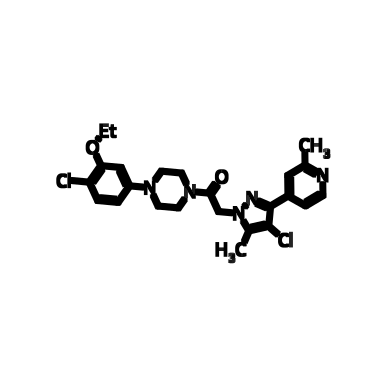 CCOc1cc(N2CCN(C(=O)Cn3nc(-c4ccnc(C)c4)c(Cl)c3C)CC2)ccc1Cl